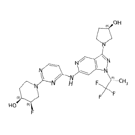 C[C@@H](n1nc(N2CC[C@@H](O)C2)c2cnc(Nc3ccnc(N4CC[C@H](O)[C@H](F)C4)n3)cc21)C(F)(F)F